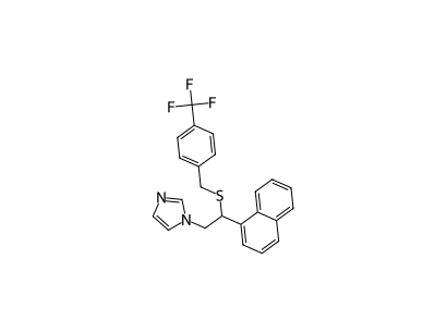 FC(F)(F)c1ccc(CSC(Cn2ccnc2)c2cccc3ccccc23)cc1